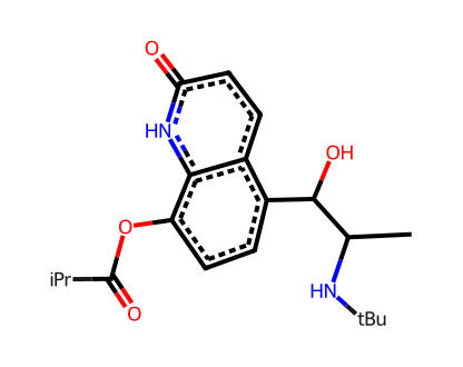 CC(C)C(=O)Oc1ccc(C(O)C(C)NC(C)(C)C)c2ccc(=O)[nH]c12